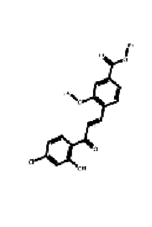 CC(C)OC(=O)c1ccc(/C=C/C(=O)c2ccc(Cl)cc2O)c(OC(C)C)c1